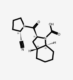 N#C[C@@H]1CCCN1C(=O)[C@@H]1C[C@H]2CCCC[C@@H]2N1C(=O)O